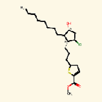 CCCCCCCCC1[C@@H](CCCC2CC=C(C(=O)OC)S2)C(Cl)C[C@H]1O